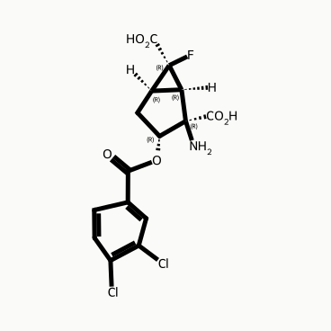 N[C@]1(C(=O)O)[C@H]2[C@@H](C[C@H]1OC(=O)c1ccc(Cl)c(Cl)c1)[C@]2(F)C(=O)O